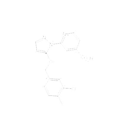 Cc1ccc(COc2ccnn2-c2cc(C(=O)O)ccn2)cc1Cl